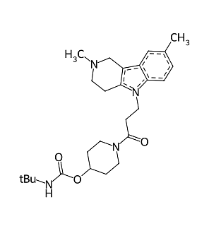 Cc1ccc2c(c1)c1c(n2CCC(=O)N2CCC(OC(=O)NC(C)(C)C)CC2)CCN(C)C1